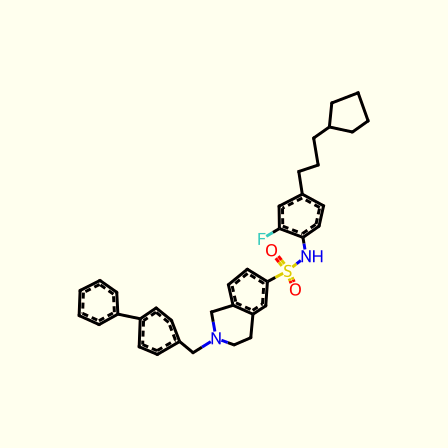 O=S(=O)(Nc1ccc(CCCC2CCCC2)cc1F)c1ccc2c(c1)CCN(Cc1ccc(-c3ccccc3)cc1)C2